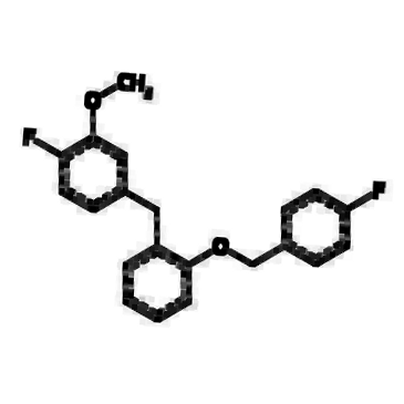 COc1cc(Cc2ccccc2OCc2ccc(F)cc2)ccc1F